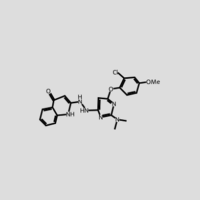 COc1ccc(Oc2cc(NNc3cc(=O)c4ccccc4[nH]3)nc(N(C)C)n2)c(Cl)c1